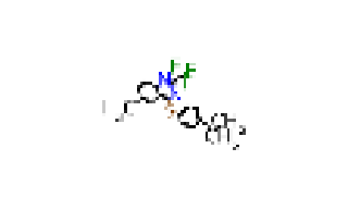 Cc1ccc2nc(C(F)(F)F)nc(Sc3ccc(C(C)C)cc3)c2c1